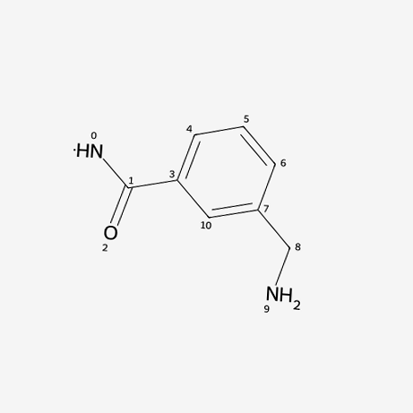 [NH]C(=O)c1cccc(CN)c1